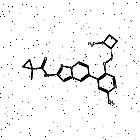 Cc1cc(-c2ccn3nc(NC(=O)C4(F)CC4)cc3c2)c(OC[C@H]2CCN2C)cn1